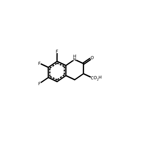 O=C(O)C1Cc2cc(F)c(F)c(F)c2NC1=O